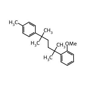 COc1ccccc1C(C)(C)CCC(C)(C)c1ccc(C)cc1